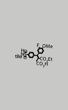 CCOC(=O)C(CC(=O)O)=C(c1ccc(S(=O)(=O)NC(C)(C)C)cc1)c1ccc(OC)c(F)c1